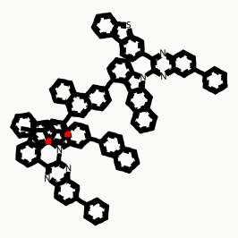 CC1(C)c2cc(-c3cc4ccc(-c5cccc6c5c5cc7ccccc7cc5n6-c5nc6cc(-c7ccccc7)ccc6nc5-c5ccc6c(c5)sc5ccccc56)cc4c4ccccc34)ccc2-c2c(-c3nc4ccc(-c5ccccc5)cc4nc3-n3c4cc(-c5ccc6ccccc6c5)ccc4c4cc5ccccc5cc43)cccc21